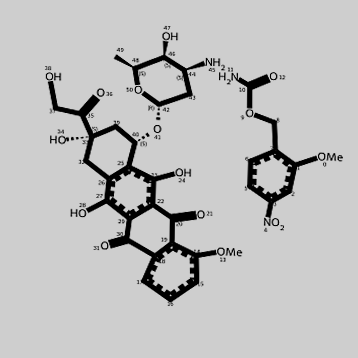 COc1cc([N+](=O)[O-])ccc1COC(N)=O.COc1cccc2c1C(=O)c1c(O)c3c(c(O)c1C2=O)C[C@@](O)(C(=O)CO)C[C@@H]3O[C@H]1C[C@H](N)[C@H](O)[C@H](C)O1